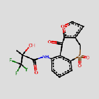 CC(O)(C(=O)Nc1cccc2c1C(=O)c1occc1CS2(=O)=O)C(F)(F)F